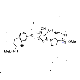 CO/N=C1\NC=NC2C1CCN2[C@@H]1O[C@H](COc2ccc3c(c2)NC(NOC)CC3)[C@@](C)(O)[C@H]1O